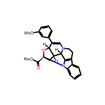 CC[C@@]12C[C@@]3(C(=O)OC)O[C@@H]1C(c1cccc(OC)c1)=CN1CCc4c(n3c3ccccc43)[C@@H]12